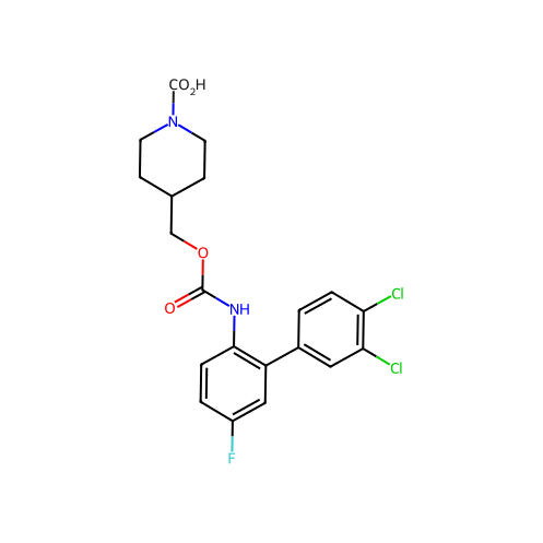 O=C(Nc1ccc(F)cc1-c1ccc(Cl)c(Cl)c1)OCC1CCN(C(=O)O)CC1